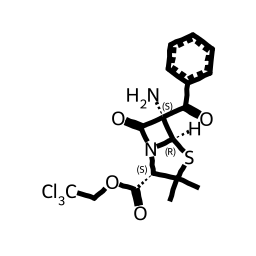 CC1(C)S[C@H]2N(C(=O)[C@@]2(N)C(=O)c2ccccc2)[C@H]1C(=O)OCC(Cl)(Cl)Cl